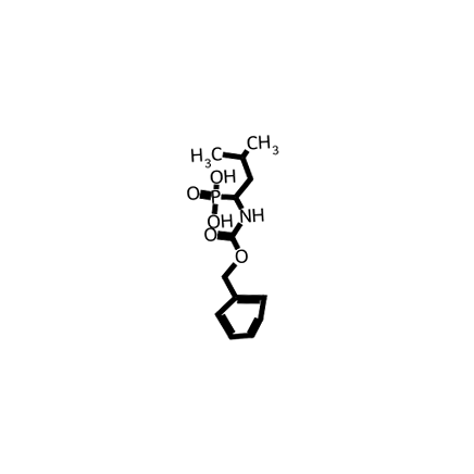 CC(C)CC(NC(=O)OCc1ccccc1)P(=O)(O)O